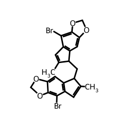 CC1=Cc2c(cc3c(c2Br)OCO3)C1CC1C(C)=Cc2c1cc1c(c2Br)OCO1